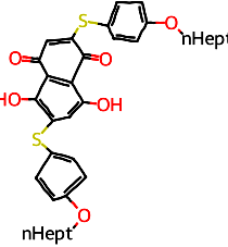 CCCCCCCOc1ccc(SC2=CC(=O)c3c(O)c(Sc4ccc(OCCCCCCC)cc4)cc(O)c3C2=O)cc1